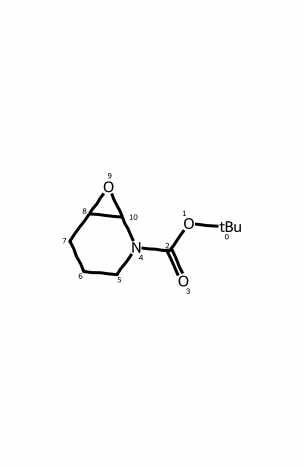 CC(C)(C)OC(=O)N1CCCC2OC21